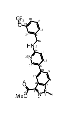 COC(=O)c1nn(C)c2ccc(-c3ccc(NCc4cccc(OC(F)(F)F)c4)nc3)cc12